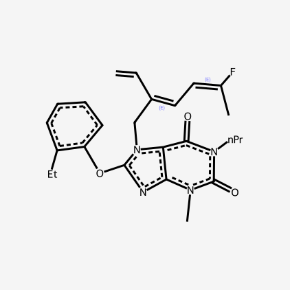 C=C/C(=C\C=C(/C)F)Cn1c(Oc2ccccc2CC)nc2c1c(=O)n(CCC)c(=O)n2C